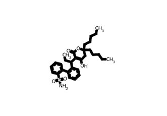 CCCCCC1(CCCCC)CC(O)=C(C(CC)c2ccccc2-c2ccccc2S(N)(=O)=O)C(=O)O1